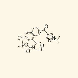 CC(C)n1cc(C(=O)N2CCc3cc(Cl)cc(C4COCCN4C(=O)OC(C)(C)C)c3C2)cn1